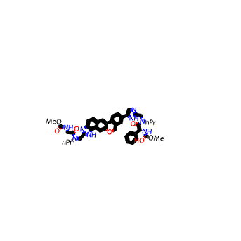 CCCN(Cc1nc2ccc3cc4c(cc3c2[nH]1)OCc1cc(-c2cnc(CN(CCC)C(=O)[C@H](NC(O)OC)c3ccccc3)[nH]2)ccc1-4)C(=O)CNC(=O)OC